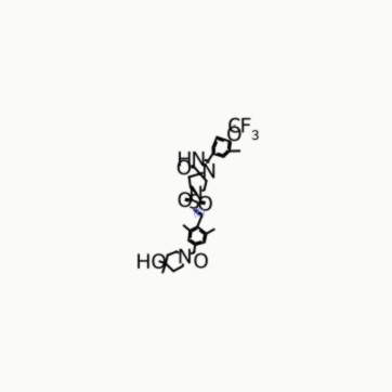 Cc1cc(C2=NC3(CCN(S(=O)(=O)/C=C/c4c(C)cc(C(=O)N5CCC(C)(O)CC5)cc4C)CC3)C(=O)N2)ccc1OC(F)(F)F